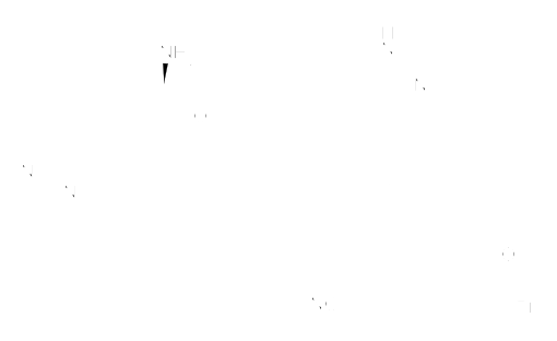 CCOc1cc(C#N)cc(-c2n[nH]c3ccc(O[C@H](N)c4c(C)cnnc4C)cc23)c1